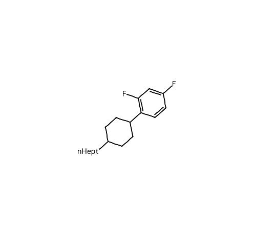 CCCCCCCC1CCC(c2ccc(F)cc2F)CC1